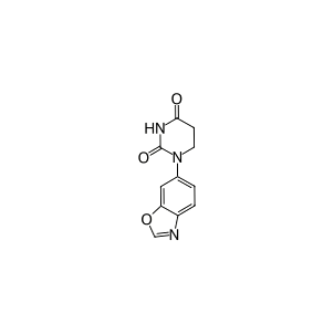 O=C1CCN(c2ccc3ncoc3c2)C(=O)N1